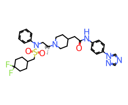 C[C@H](CN(c1ccccc1)S(=O)(=O)CC1CCC(F)(F)CC1)N1CCC(CC(=O)Nc2ccc(-n3cncn3)cc2)CC1